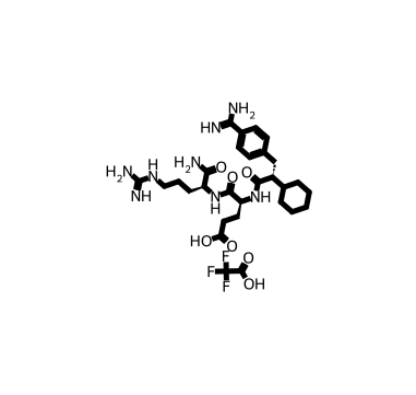 N=C(N)NCCC[C@H](NC(=O)[C@H](CCC(=O)O)NC(=O)[C@H](Cc1ccc(C(=N)N)cc1)C1CCCCC1)C(N)=O.O=C(O)C(F)(F)F